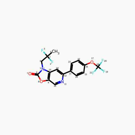 CC(F)(F)Cn1c(=O)oc2cnc(-c3ccc(OC(F)(F)F)cc3)cc21